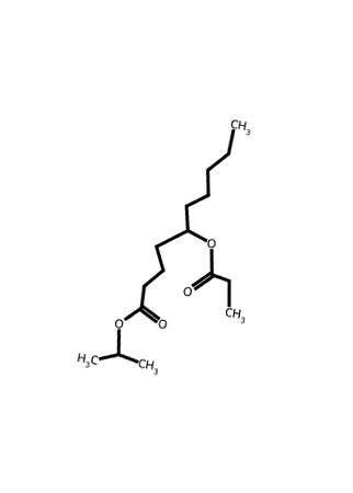 CCCCCC(CCCC(=O)OC(C)C)OC(=O)CC